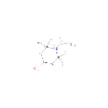 CC1(C)CC(O)CC(C)(C)N1O[N]